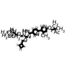 CC(=O)C(C)(C)COc1cc(C)c(-c2ccc(C(=N)/N=C(\NCOCC[SH](C)(C)(C)C)OCC3CCC3)cn2)cn1